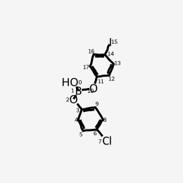 OB(Oc1ccc(Cl)cc1)Oc1ccc(I)cc1